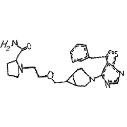 NC(=O)C1CCCN1CCOCC1C2CN(c3ncnc4scc(-c5ccccc5)c34)CC12